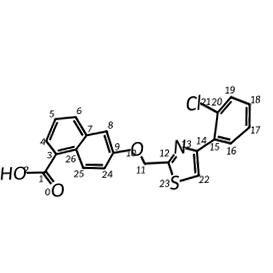 O=C(O)c1cccc2cc(OCc3nc(-c4ccccc4Cl)cs3)ccc12